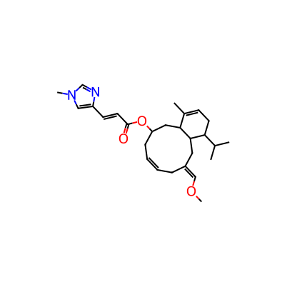 COC=C1CC=CCC(OC(=O)C=Cc2cn(C)cn2)CC2C(C)=CCC(C(C)C)C2C1